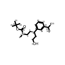 CN(CC[C@H](CCO)c1cccc(C(F)F)c1)C(=O)OC(C)(C)C